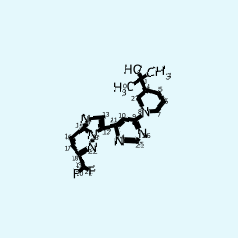 CC(C)(O)C1CCCN(c2cc(-c3cnc4ccc(C(F)F)nn34)ncn2)C1